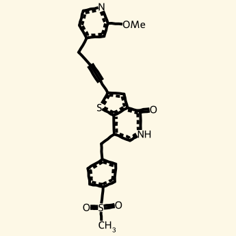 COc1cc(CC#Cc2cc3c(=O)[nH]cc(Cc4ccc(S(C)(=O)=O)cc4)c3s2)ccn1